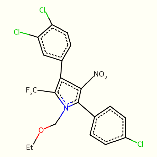 CCOCn1c(-c2ccc(Cl)cc2)c([N+](=O)[O-])c(-c2ccc(Cl)c(Cl)c2)c1C(F)(F)F